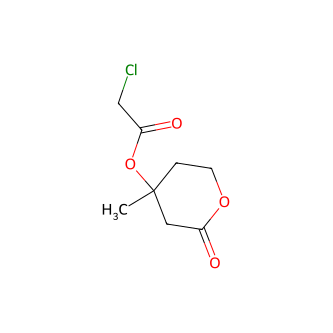 CC1(OC(=O)CCl)CCOC(=O)C1